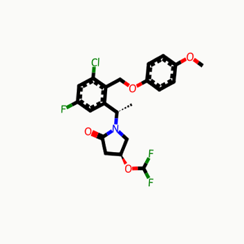 COc1ccc(OCc2c(Cl)cc(F)cc2[C@H](C)N2C[C@@H](OC(F)F)CC2=O)cc1